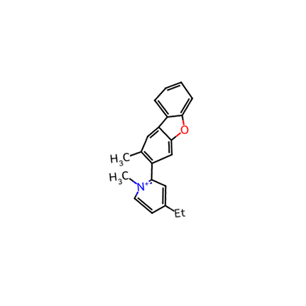 CCc1cc[n+](C)c(-c2cc3oc4ccccc4c3cc2C)c1